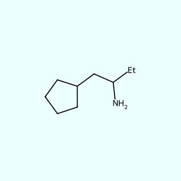 CCC(N)CC1CCCC1